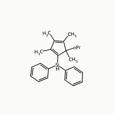 CCCC1(C)C(C)=C(C)C(C)=C1[SiH](c1ccccc1)c1ccccc1